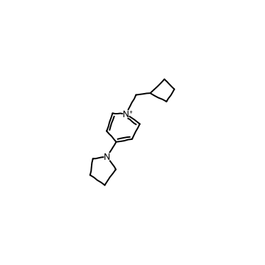 c1c[n+](CC2CCC2)ccc1N1CCCC1